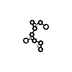 C1=CCC=C(c2cccc(-n3c4ccccc4c4cc(-c5ccc6c(c5)c5cc(-c7cccc8c7sc7ccccc78)ccc5n6C5=CCC=CC=C5)ccc43)c2)C=C1